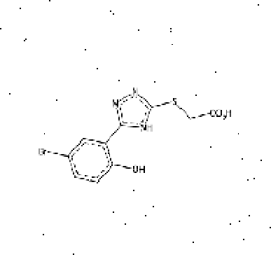 O=C(O)CSc1nnc(-c2cc(Br)ccc2O)[nH]1